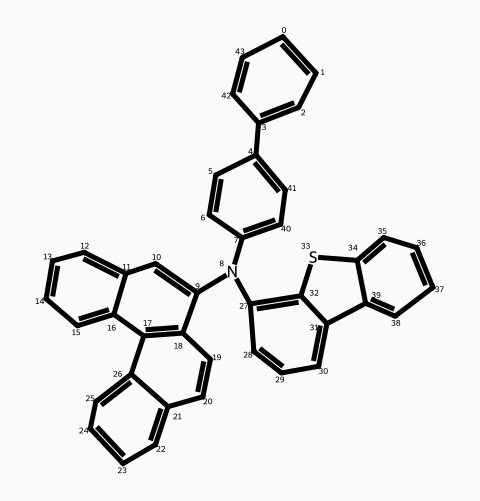 c1ccc(-c2ccc(N(c3cc4ccccc4c4c3ccc3ccccc34)c3cccc4c3sc3ccccc34)cc2)cc1